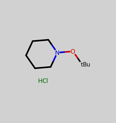 CC(C)(C)ON1CCCCC1.Cl